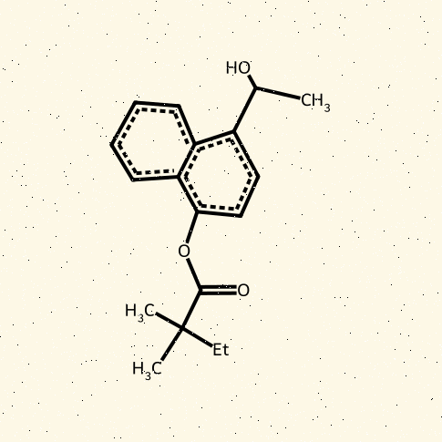 CCC(C)(C)C(=O)Oc1ccc(C(C)O)c2ccccc12